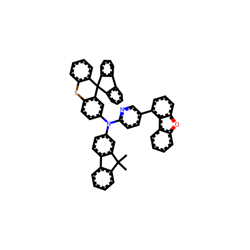 CC1(C)c2ccccc2-c2ccc(N(c3ccc4c(c3)C3(c5ccccc5S4)c4ccccc4-c4ccccc43)c3ccc(-c4cccc5oc6ccccc6c45)cn3)cc21